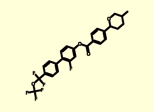 CC1CCC(c2ccc(C(=O)Oc3ccc(-c4ccc(C(F)(F)OC(F)(F)F)cc4)c(F)c3)cc2)OC1